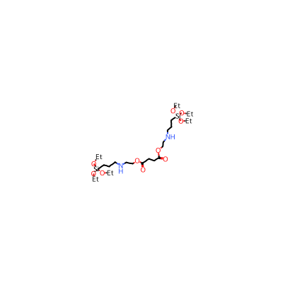 CCO[Si](CCCNCCOC(=O)CCC(=O)OCCNCCC[Si](OCC)(OCC)OCC)(OCC)OCC